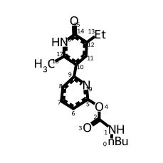 CCCCNC(=O)Oc1cccc(-c2cc(CC)c(=O)[nH]c2C)n1